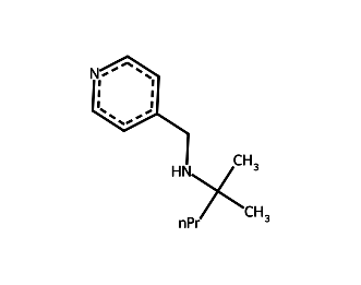 CCCC(C)(C)NCc1ccncc1